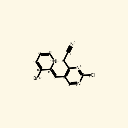 N#CCc1nc(Cl)ncc1C=C1NC=CC=C1Br